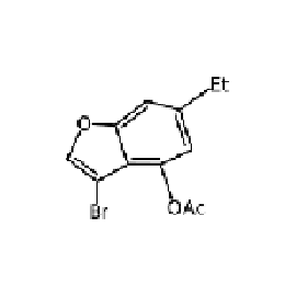 CCc1cc(OC(C)=O)c2c(Br)coc2c1